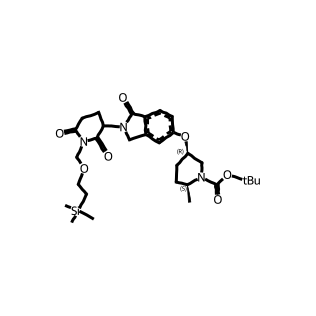 C[C@H]1CC[C@@H](Oc2ccc3c(c2)CN(C2CCC(=O)N(COCC[Si](C)(C)C)C2=O)C3=O)CN1C(=O)OC(C)(C)C